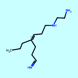 CCC/C(=C/CCNCCN)CCC=N